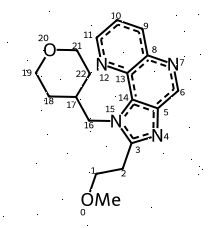 COCCc1nc2cnc3cccnc3c2n1CC1CCOCC1